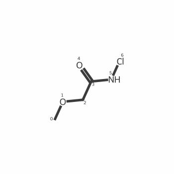 COCC(=O)NCl